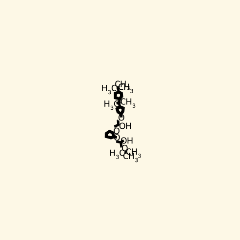 CC(C)(C)OCC(O)COc1ccccc1OCC(O)COc1ccc(C(C)(C)c2ccc(C(C)(C)C)cc2)cc1